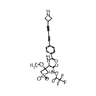 COC1(C(NC(=O)c2ccc(C#CC#CC3CNC3)cc2)C(=O)NOC(=O)C(F)(F)F)CS(=O)(=O)C1